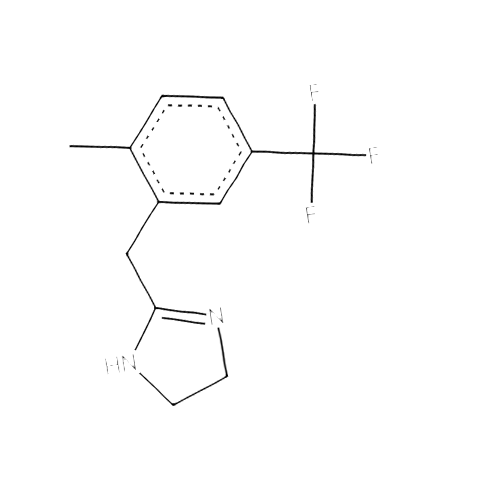 Cc1ccc(C(F)(F)F)cc1CC1=NCCN1